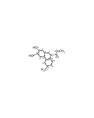 COC(=O)c1cc2cc(O)c(O)cc2c2cc(C)ccc12